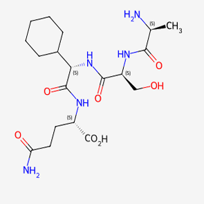 C[C@H](N)C(=O)N[C@@H](CO)C(=O)N[C@H](C(=O)N[C@@H](CCC(N)=O)C(=O)O)C1CCCCC1